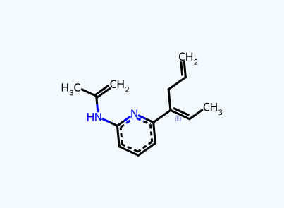 C=CC/C(=C\C)c1cccc(NC(=C)C)n1